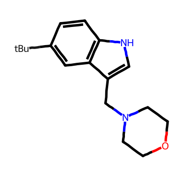 CC(C)(C)c1ccc2[nH]cc(CN3CCOCC3)c2c1